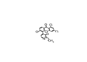 CCn1nccc(-c2cc(C(=O)c3c(Cl)cc(Cl)cc3Cl)ccc2Cl)c1=O